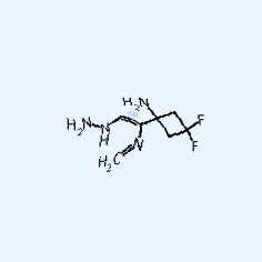 C=N/C(=C\NN)C1(N)CC(F)(F)C1